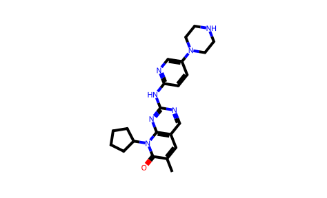 Cc1cc2cnc(Nc3ccc(N4CCNCC4)cn3)nc2n(C2CCCC2)c1=O